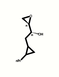 CCCC1CC1C[C@@H](O)[C@H]1CO1